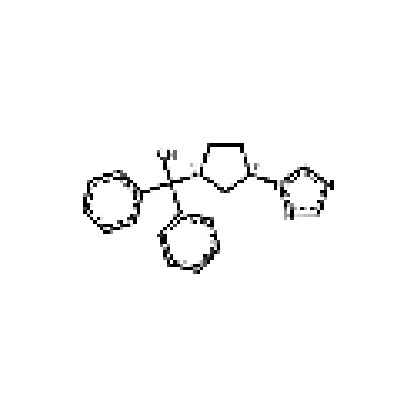 N#CC(c1ccccc1)(c1ccccc1)[C@H]1CC[C@@H](n2cncn2)C1